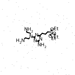 CCO[Si](CCCc1nc(N)nc(N(CCN)CCN)n1)(OCC)OCC